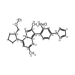 CCOC[C@@H]1CCCN1c1cc(C)nc2c(-c3ccc(-n4cccn4)cc3OC)c(C)nn12